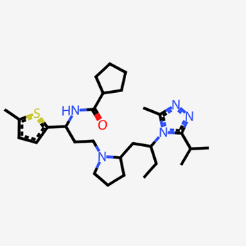 CCC(CC1CCCN1CCC(NC(=O)C1CCCC1)c1ccc(C)s1)n1c(C)nnc1C(C)C